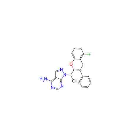 CC(C1=C(c2ccccc2)Cc2c(F)cccc2O1)n1ncc2c(N)ncnc21